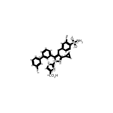 NS(=O)(=O)c1ccc(Cc2c(C3CC3)nn(-c3nc(C(=O)O)cs3)c2-c2cccc(-c3cccc(F)c3)c2)cc1F